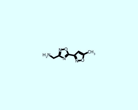 Cc1cc(-c2nc(CN)no2)no1